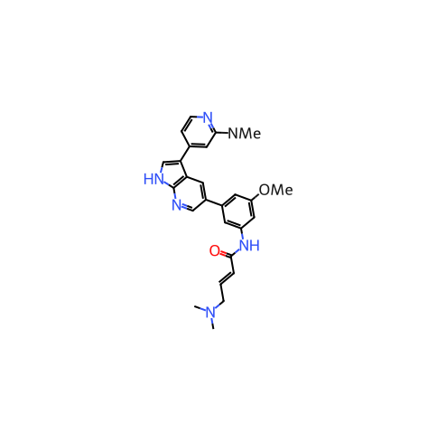 CNc1cc(-c2c[nH]c3ncc(-c4cc(NC(=O)C=CCN(C)C)cc(OC)c4)cc23)ccn1